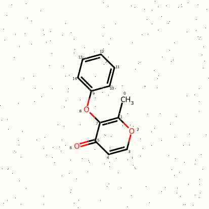 Cc1occc(=O)c1Oc1[c]cccc1